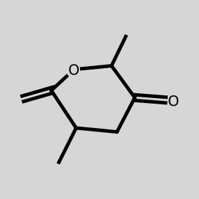 C=C1OC(C)C(=O)CC1C